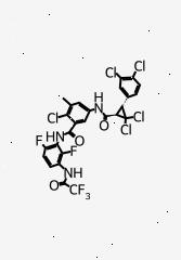 Cc1cc(NC(=O)[C@H]2[C@H](c3ccc(Cl)c(Cl)c3)C2(Cl)Cl)cc(C(=O)Nc2c(F)ccc(NC(=O)C(F)(F)F)c2F)c1Cl